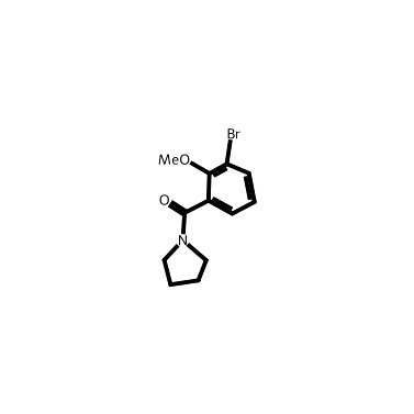 COc1c(Br)cccc1C(=O)N1CCCC1